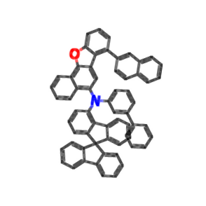 c1ccc(-c2cccc(N(c3cccc4c3-c3ccccc3C43c4ccccc4-c4ccccc43)c3cc4c(oc5cccc(-c6ccc7ccccc7c6)c54)c4ccccc34)c2)cc1